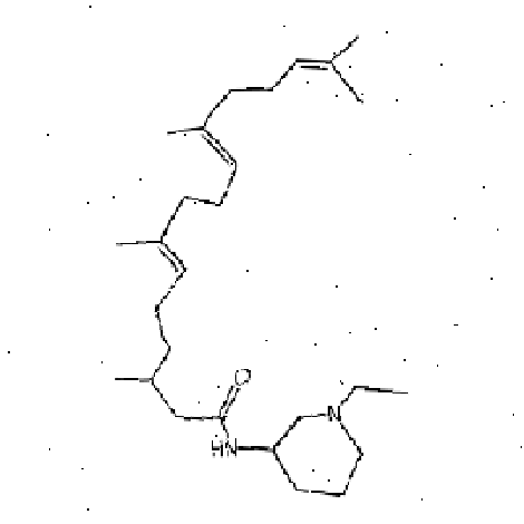 CCN1CCCC(NC(=O)CC(C)CC/C=C(\C)CC/C=C(\C)CCC=C(C)C)C1